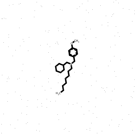 CCCCCCCCN(Cc1ccc(OC)cc1)CC1CCCCC1